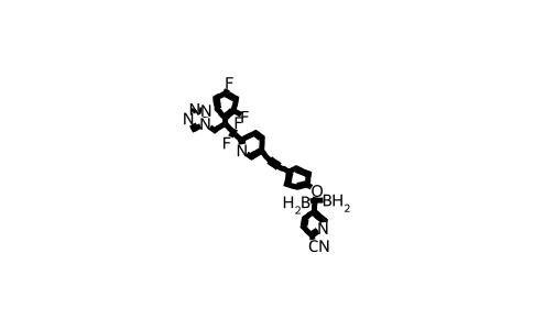 BC(B)(Oc1ccc(C#Cc2ccc(C(F)(F)C(Cn3cnnn3)c3ccc(F)cc3F)nc2)cc1)c1ccc(C#N)nc1